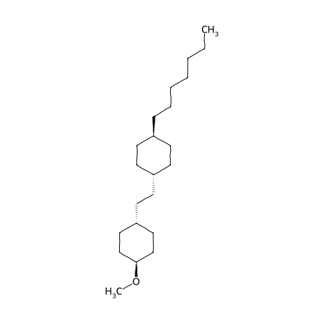 CCCCCCC[C@H]1CC[C@H](CC[C@H]2CC[C@H](OC)CC2)CC1